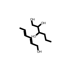 C/C=C/C=C/CO.CCCC(O)C(O)CO